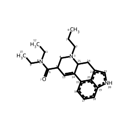 CCCN1CC(C(=O)N(CC)CC)C=C2c3cccc4[nH]cc(c34)CC21